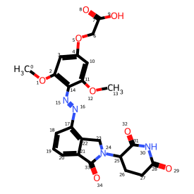 COc1cc(OCC(=O)O)cc(OC)c1/N=N/c1cccc2c1CN(C1CCC(=O)NC1=O)C2=O